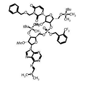 CO[C@@H]1[C@H](OP(=O)(OCc2ccccc2C(F)(F)F)OC[C@H]2O[C@@H](n3cnc4c(/N=C/N(C)C)ncnc43)[C@H](OC)[C@@H]2O[Si](C)(C)C(C)(C)C)[C@@H](CO[Si](C)(C)C(C)(C)C)O[C@H]1n1ccc(=O)n(COCc2ccccc2)c1=O